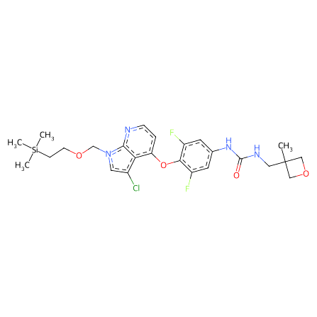 CC1(CNC(=O)Nc2cc(F)c(Oc3ccnc4c3c(Cl)cn4COCC[Si](C)(C)C)c(F)c2)COC1